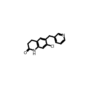 O=C1CCc2cc(Cc3cccnc3)c(Cl)cc2N1